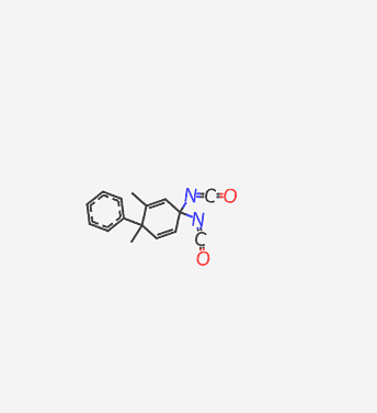 CC1=CC(N=C=O)(N=C=O)C=CC1(C)c1ccccc1